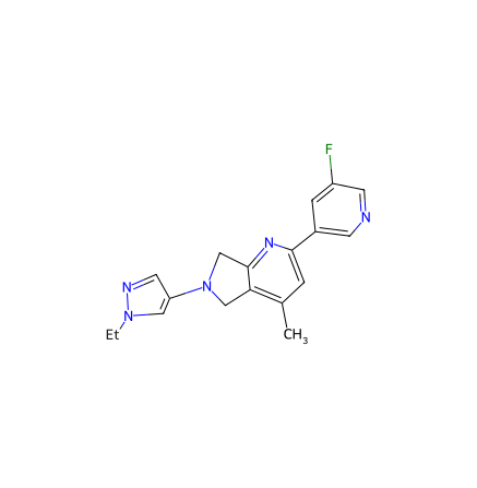 CCn1cc(N2Cc3nc(-c4cncc(F)c4)cc(C)c3C2)cn1